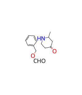 CC1CC(=O)CCN1.O=COCc1ccccc1